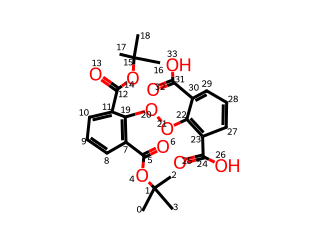 CC(C)(C)OC(=O)c1cccc(C(=O)OC(C)(C)C)c1OOc1c(C(=O)O)cccc1C(=O)O